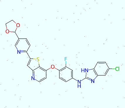 Fc1cc(Nc2nc3cc(Cl)ccc3[nH]2)ccc1Oc1ccnc2cc(-c3ccc(C4OCCO4)cn3)sc12